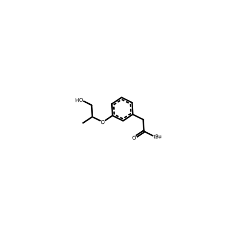 CC(CO)Oc1cccc(CC(=O)C(C)(C)C)c1